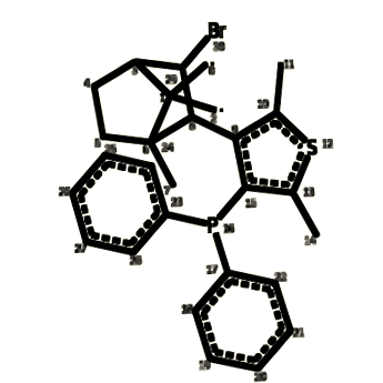 [CH2]C1([CH2])C2CCC1(C)C(c1c(C)sc(C)c1P(c1ccccc1)c1ccccc1)C2Br